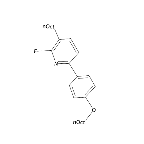 CCCCCCCCOc1ccc(-c2ccc(CCCCCCCC)c(F)n2)cc1